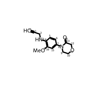 C#CCNc1ccc(N2CCOCC2=O)cc1OC